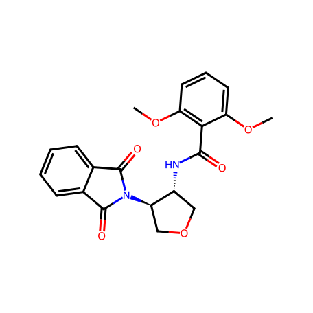 COc1cccc(OC)c1C(=O)N[C@@H]1COC[C@H]1N1C(=O)c2ccccc2C1=O